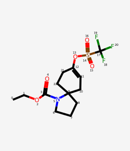 CCOC(=O)N1CCCC12CC=C(OS(=O)(=O)C(F)(F)F)CC2